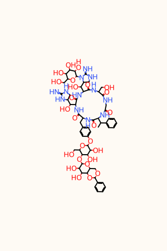 CC(c1ccccc1)C1NC(=O)CNC(=O)C(CO)NC(=O)C(C(O)C2CNC(=N)N2C2OC(CO)C(O)C(O)C2O)NC(=O)C(C(O)C2CNC(=N)N2)NC(=O)C(Cc2ccc(OC3OC(CO)C(OC4OC5COC(c6ccccc6)OC5C(O)C4O)C(O)C3O)cc2)NC1=O